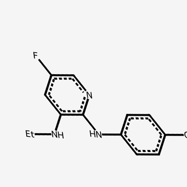 CCNc1cc(F)cnc1Nc1ccc(O)cc1